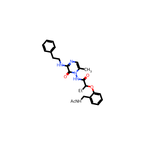 CCC(Oc1ccccc1CNC(C)=O)C(=O)Nn1c(C)cnc(NCCc2ccccc2)c1=O